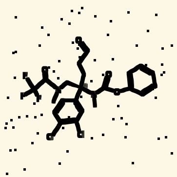 CN(C[C@](CCC=O)(c1ccc(Cl)c(Cl)c1)N(C)C(=O)Oc1ccccc1)C(=O)C(F)(F)F